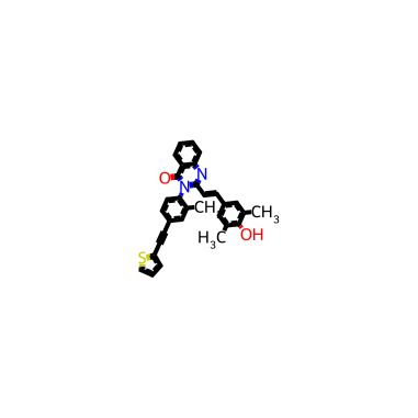 Cc1cc(C#Cc2cccs2)ccc1-n1c(C=Cc2cc(C)c(O)c(C)c2)nc2ccccc2c1=O